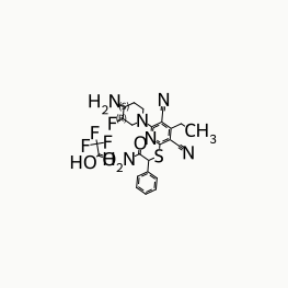 CCc1c(C#N)c(SC(C(N)=O)c2ccccc2)nc(N2CC[C@H](N)[C@H](F)C2)c1C#N.O=C(O)C(F)(F)F